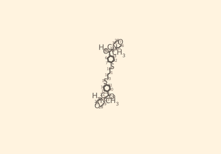 CC(C)(C(=O)c1ccc(SCCCCSc2ccc(C(=O)C(C)(C)N3CCOCC3)cc2)cc1)N1CCOCC1